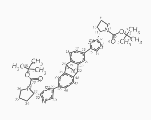 CC(C)(C)OC(=O)N1CCC[C@H]1c1ncc(-c2ccc3c(c2)C2CCC3c3cc(-c4cnc([C@@H]5CCCN5C(=O)OC(C)(C)C)s4)ccc32)s1